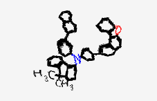 CC1(C)c2ccccc2-c2c(N(c3ccc(-c4ccc5ccc6oc7ccccc7c6c5c4)cc3)c3cccc(-c4ccc5ccccc5c4)c3)cccc21